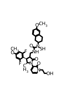 COc1cc(F)c([C@H]2C(CNC(=O)N(S)C3CCc4cc(OC)ccc4C3)C(=O)N(c3cccn(CCO)c3=O)[C@H]2C)c(F)c1